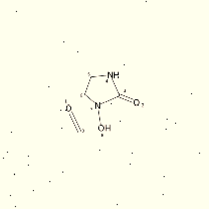 C=O.O=C1NCCN1O